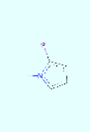 Cn1cccc1[P]